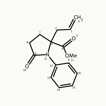 C=CCC1(C(=O)OC)CCC(=O)N1c1ccccc1